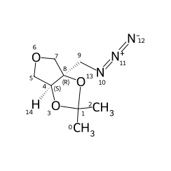 CC1(C)O[C@H]2COC[C@@]2(CN=[N+]=[N-])O1